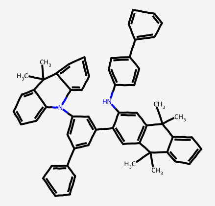 CC1(C)c2ccccc2N(c2cc(-c3ccccc3)cc(-c3cc4c(cc3Nc3ccc(-c5ccccc5)cc3)C(C)(C)c3ccccc3C4(C)C)c2)c2ccccc21